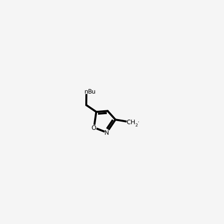 [CH2]c1cc(CCCCC)on1